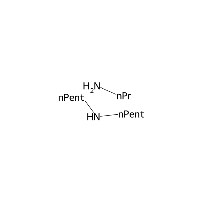 CCCCCNCCCCC.CCCN